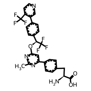 Cc1nc(O[C@@H](c2ccc(-c3cnccc3C(F)(F)F)cc2)C(F)(F)F)cc(-c2ccc(C[C@H](N)C(=O)O)cc2)n1